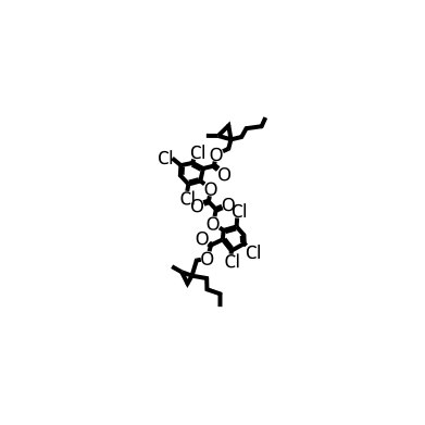 CCCCC1(COC(=O)c2c(Cl)c(Cl)cc(Cl)c2OC(=O)C(=O)Oc2c(Cl)cc(Cl)c(Cl)c2C(=O)OCC2(CCCC)CC2C)CC1C